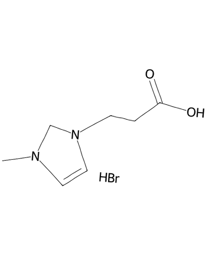 Br.CN1C=CN(CCC(=O)O)C1